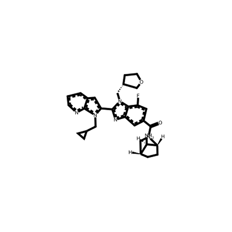 N[C@@H]1[C@@H]2CC[C@H]1N(C(=O)c1cc(F)c3c(c1)nc(-c1cc4cccnc4n1CC1CC1)n3C[C@@H]1CCOC1)C2